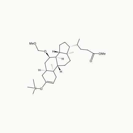 COCO[C@@H]1C[C@@H]2CC(O[Si](C)(C)C)=CC[C@]2(C)[C@H]2CC[C@]3(C)[C@@H](C(C)CCC(=O)OC)CC[C@H]3[C@H]12